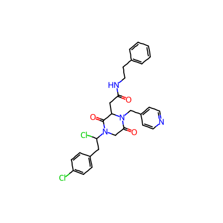 O=C(CC1C(=O)N(C(Cl)Cc2ccc(Cl)cc2)CC(=O)N1Cc1ccncc1)NCCc1ccccc1